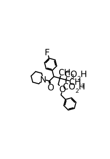 CC(C(=O)O)(C(=O)O)C(C)(COCc1ccccc1)C(C(=O)N1CCCCC1)c1ccc(F)cc1